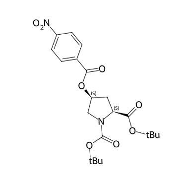 CC(C)(C)OC(=O)[C@@H]1C[C@H](OC(=O)c2ccc([N+](=O)[O-])cc2)CN1C(=O)OC(C)(C)C